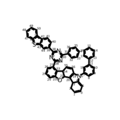 C1=CCC2C(=C1)N(c1cccc(-c3ccccc3)c1)C1=C2C2Oc3cccc(-c4nc(-c5ccccc5)nc(-c5ccc6c(c5)sc5ccccc56)n4)c3C2C=C1